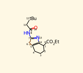 CCOC(=O)C1CCCc2sc(NC(=O)CC(C)(C)C)nc21